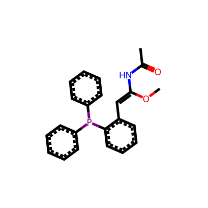 COC(=Cc1ccccc1P(c1ccccc1)c1ccccc1)NC(C)=O